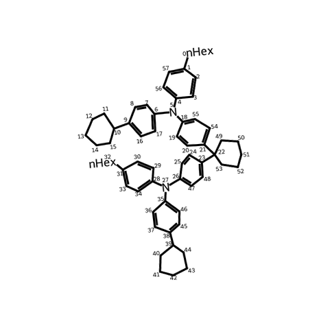 CCCCCCc1ccc(N(c2ccc(C3CCCCC3)cc2)c2ccc(C3(c4ccc(N(c5ccc(CCCCCC)cc5)c5ccc(C6CCCCC6)cc5)cc4)CCCCC3)cc2)cc1